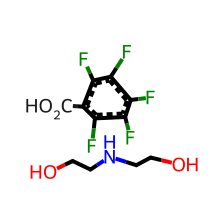 O=C(O)c1c(F)c(F)c(F)c(F)c1F.OCCNCCO